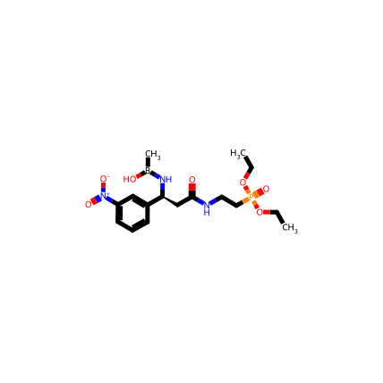 CCOP(=O)(CCNC(=O)C[C@H](NB(C)O)c1cccc([N+](=O)[O-])c1)OCC